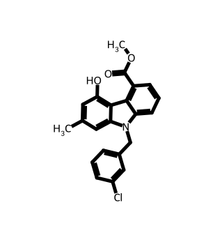 COC(=O)c1cccc2c1c1c(O)cc(C)cc1n2Cc1cccc(Cl)c1